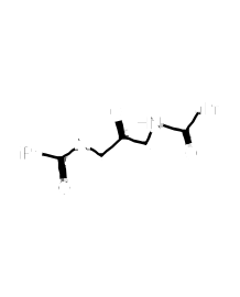 CC(C)C(=O)NCC(=O)CNC(=O)C(C)C